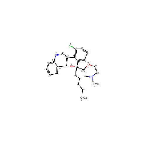 COCCCC[C@@](O)(c1cccc(Cl)c1-c1cnc2ccccc2c1)[C@H]1CN(C=O)CCO1